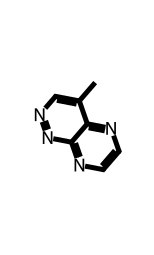 Cc1cnnc2nccnc12